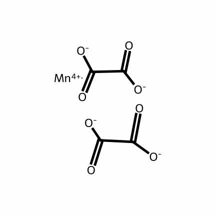 O=C([O-])C(=O)[O-].O=C([O-])C(=O)[O-].[Mn+4]